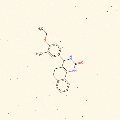 CCOc1ccc(C2NC(=O)NC3=C2CCc2ccccc23)cc1C